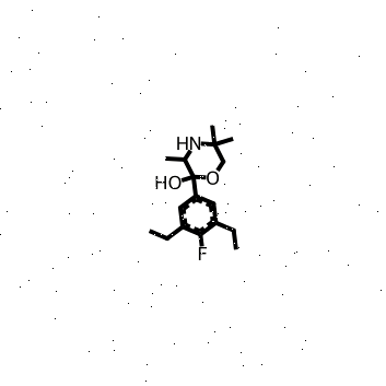 CCc1cc(C2(O)OCC(C)(C)NC2C)cc(CC)c1F